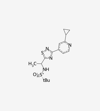 CC(N[S@@+]([O-])C(C)(C)C)c1nc(-c2ccnc(C3CC3)c2)ns1